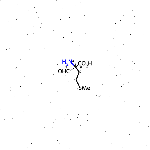 CSCC[C@](N)(C=O)C(=O)O